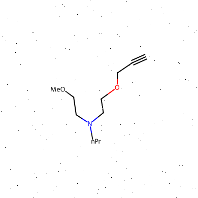 C#CCOCCN(CCC)CCOC